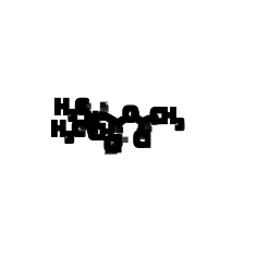 CC(Cl)OCC[N+](C)(C)C.[Cl-]